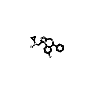 CCN(Cc1nnc2n1-c1ccc(Br)cc1C(c1ccccc1)=NC2)C1CC1